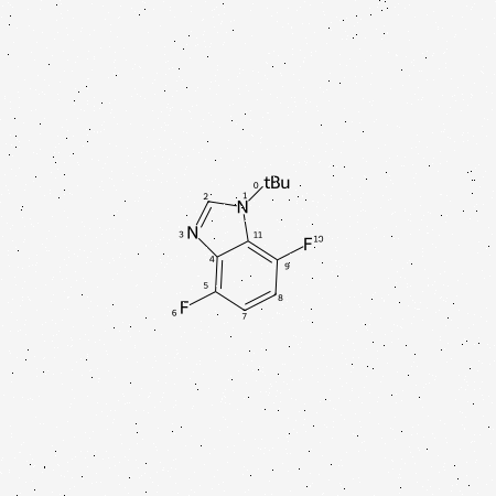 CC(C)(C)n1cnc2c(F)ccc(F)c21